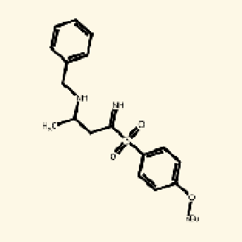 CCCCOc1ccc(S(=O)(=O)C(=N)CC(C)NCc2ccccc2)cc1